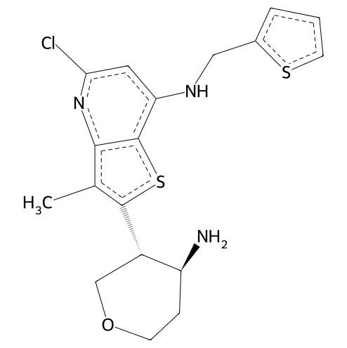 Cc1c([C@H]2COCC[C@@H]2N)sc2c(NCc3cccs3)cc(Cl)nc12